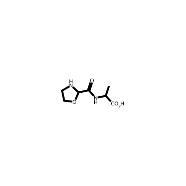 CC(NC(=O)C1NCCO1)C(=O)O